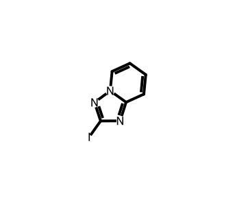 Ic1nc2ccccn2n1